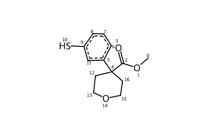 COC(=O)C1(c2cccc(S)c2)CCOCC1